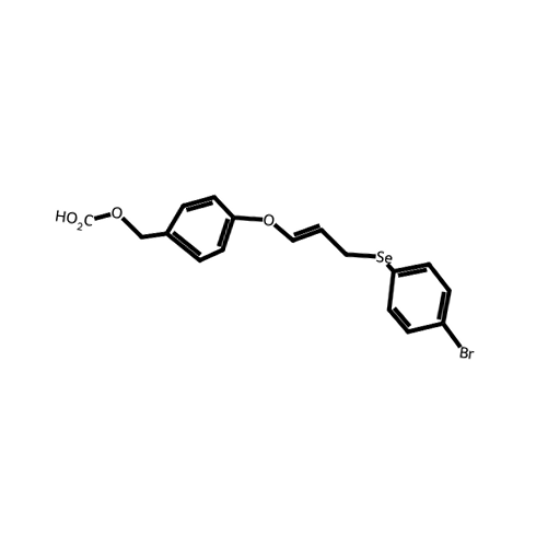 O=C(O)OCc1ccc(OC=CC[Se]c2ccc(Br)cc2)cc1